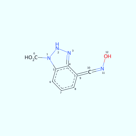 O=C(O)N1NN=c2c1cccc2=C=NO